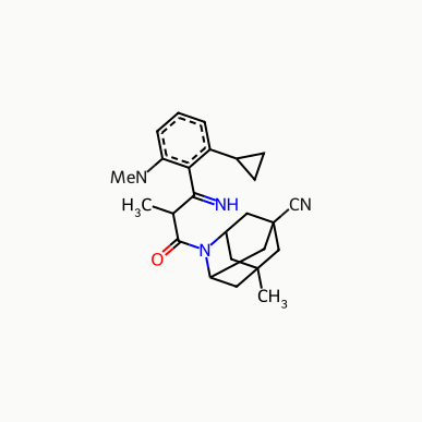 CNc1cccc(C2CC2)c1C(=N)C(C)C(=O)N1C2CC3(C)CC1CC(C#N)(C2)C3